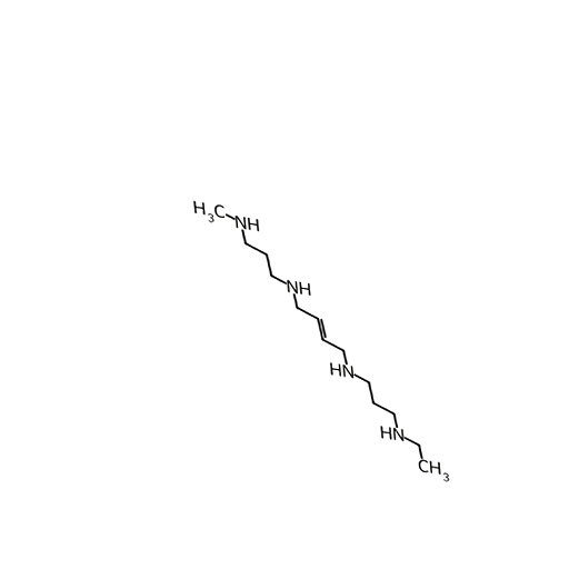 CCNCCCNC/C=C/CNCCCNC